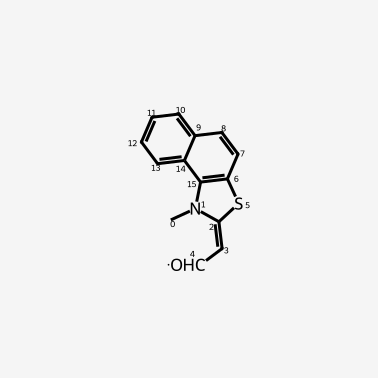 CN1C(=C[C]=O)Sc2ccc3ccccc3c21